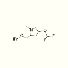 CC(C)OCC1CC(OC(F)F)CN1C